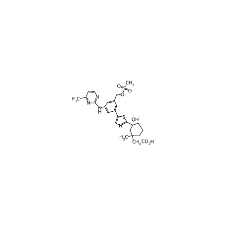 CC1(C)C[C@@](O)(c2ncc(-c3cc(COS(C)(=O)=O)cc(Nc4nccc(C(F)(F)F)n4)c3)s2)CC[C@@H]1C(=O)O